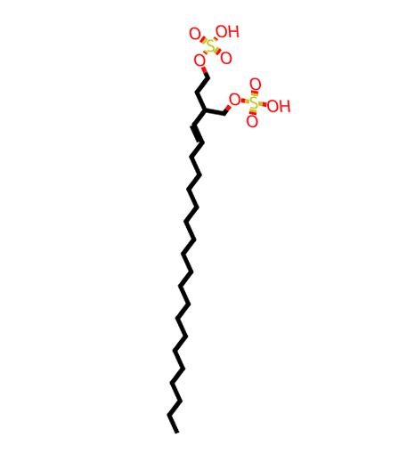 CCCCCCCCCCCCCCCCCCC=CC(CCOS(=O)(=O)O)COS(=O)(=O)O